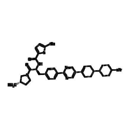 CCCC1CCC(C2CC=C(c3cnc(-c4ccc(C[C@H](NC(=O)c5ccc(C(C)(C)C)s5)C(=O)N5CC[C@H](C(=O)O)C5)cc4)nc3)CC2)CC1